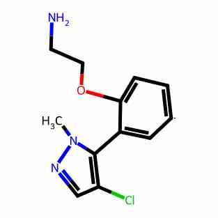 Cn1ncc(Cl)c1-c1c[c]ccc1OCCN